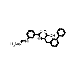 NN=CNc1cccc(C(=O)NC(Cc2cccc(-c3ccccc3)c2)C(=O)O)c1